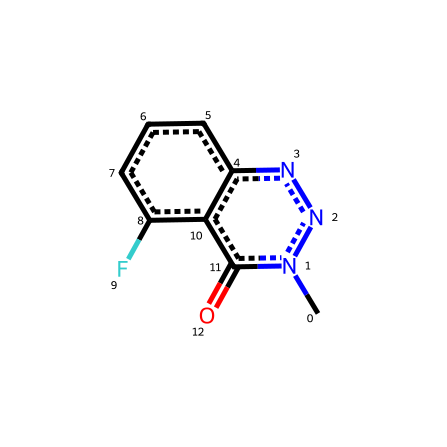 Cn1nnc2cccc(F)c2c1=O